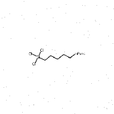 [CH2]CCCCCCCCC[Si](Cl)(Cl)Cl